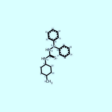 CC1CCC(NC(=S)NN(c2ccccc2)c2ccccc2)CC1